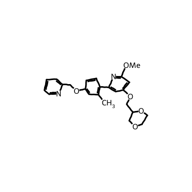 COc1cc(OCC2COCCO2)cc(-c2ccc(OCc3ccccn3)cc2C)n1